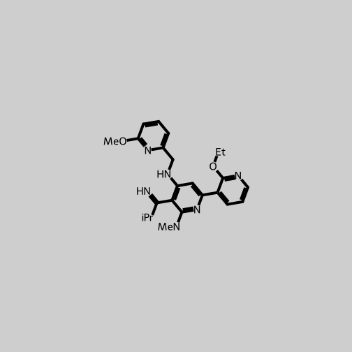 CCOc1ncccc1-c1cc(NCc2cccc(OC)n2)c(C(=N)C(C)C)c(NC)n1